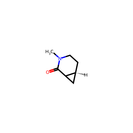 CN1CC[C@H]2CC2C1=O